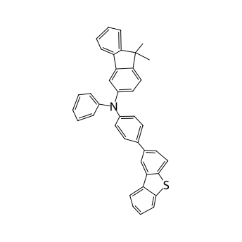 CC1(C)c2ccccc2-c2cc(N(c3ccccc3)c3ccc(-c4ccc5sc6ccccc6c5c4)cc3)ccc21